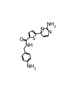 Nc1ccc(CNC(=O)c2ccc(-c3ccnc(N)n3)s2)cc1